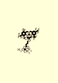 COc1cc(CN(Cc2cc(C(F)(F)F)cc(C(F)(F)F)c2)c2ncc(OCCCC(=O)OC(C)(C)C)cn2)c(Br)cc1C(F)(F)F